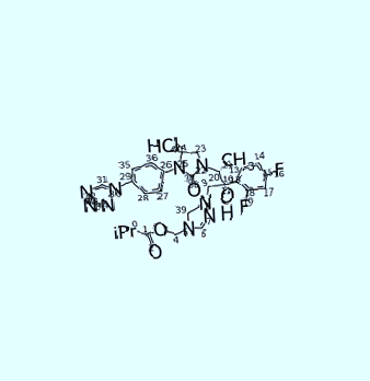 CC(C)C(=O)OCN1C=NN(C[C@](O)(c2ccc(F)cc2F)[C@@H](C)N2CCN(c3ccc(-n4cnnn4)cc3)C2=O)C1.Cl